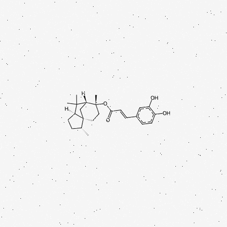 C[C@@H]1CC[C@H]2C(C)(C)[C@H]3C[C@@]12CC[C@@]3(C)OC(=O)/C=C/c1ccc(O)c(O)c1